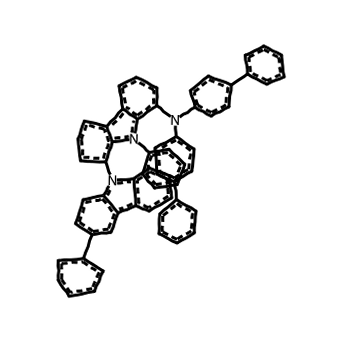 c1ccc(-c2ccc(N(c3ccc(-c4ccccc4)cc3)c3cccc4c5cccc(-n6c7ccccc7c7cc(-c8ccccc8)ccc76)c5n(-c5ccccc5)c34)cc2)cc1